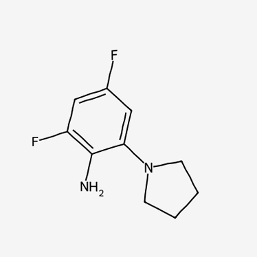 Nc1c(F)cc(F)cc1N1CCCC1